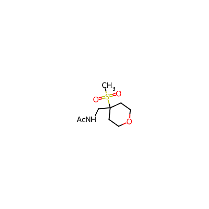 CC(=O)NCC1(S(C)(=O)=O)CCOCC1